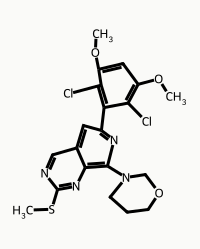 COc1cc(OC)c(Cl)c(-c2cc3cnc(SC)nc3c(N3CCCOC3)n2)c1Cl